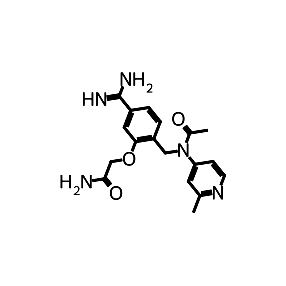 CC(=O)N(Cc1ccc(C(=N)N)cc1OCC(N)=O)c1ccnc(C)c1